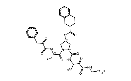 CCCC(NC(=O)[C@@H]1C[C@@H](OC(=O)C2CCc3ccccc3C2)CN1C(=O)[C@@H](NC(=O)C(=O)Cc1ccccc1)C(C)C)C(=O)C(=O)NCC(=O)O